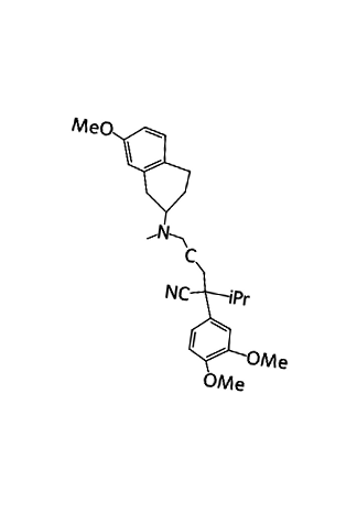 COc1ccc2c(c1)CC(N(C)CCCC(C#N)(c1ccc(OC)c(OC)c1)C(C)C)CC2